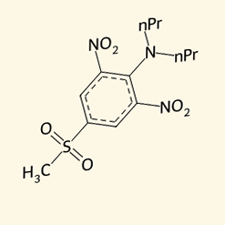 CCCN(CCC)c1c([N+](=O)[O-])cc(S(C)(=O)=O)cc1[N+](=O)[O-]